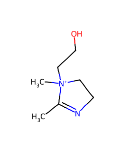 CC1=NCC[N+]1(C)CCO